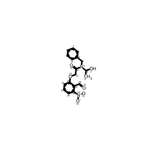 CC(O)N(Cc1ccccc1)C(=O)COc1cccc([N+](=O)[O-])c1C=O